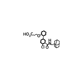 O=C(O)CCOc1ccccc1-c1ccc(Cl)c(C(=O)NCC23CC4CC(CC(C4)C2)C3)c1